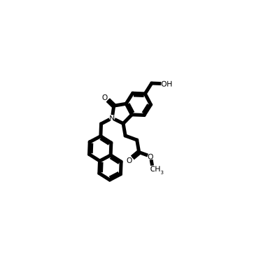 COC(=O)CCC1c2ccc(CO)cc2C(=O)N1Cc1ccc2ccccc2c1